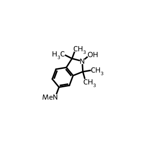 CNc1ccc2c(c1)C(C)(C)N(O)C2(C)C